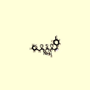 Cc1ccc(/C=C\C(=O)NC(=S)N(N)C(=O)Cc2cccs2)cc1